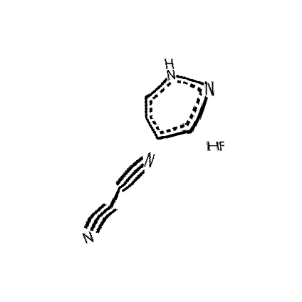 F.N#CC#N.c1cn[nH]c1